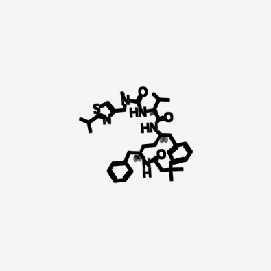 CC(C)c1nc(CN(C)C(=O)N[C@H](C(=O)N[C@H](CC[C@H](Cc2ccccc2)NC(=O)CC(C)(C)C)Cc2ccccc2)C(C)C)cs1